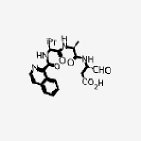 CC(C)[C@H](NC(=O)c1nccc2ccccc12)C(=O)N[C@@H](C)C(=O)N[C@H](C=O)CC(=O)O